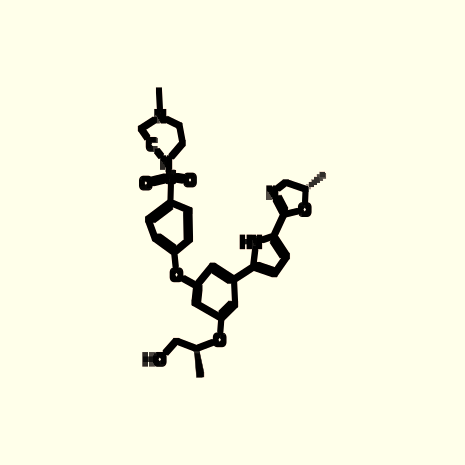 C[C@H]1CN=C(c2ccc(-c3cc(Oc4ccc(S(=O)(=O)N5CCN(C)CC5)cc4)cc(O[C@@H](C)CO)c3)[nH]2)O1